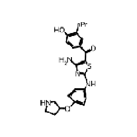 CCCc1cc(C(=O)c2sc(Nc3ccc(OC4CCNC4)cc3)nc2N)ccc1O